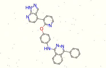 c1ccc(-c2nnc(Nc3ccc(Oc4ncccc4-c4ccnc5[nH]ncc45)cc3)c3ccccc23)cc1